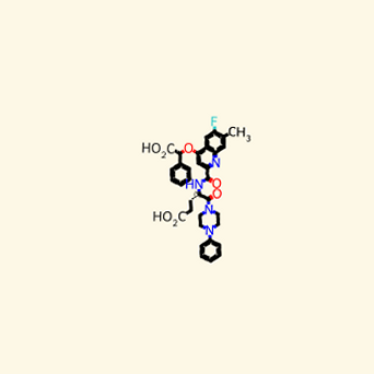 Cc1cc2nc(C(=O)N[C@@H](CCC(=O)O)C(=O)N3CCN(c4ccccc4)CC3)cc(OC(C(=O)O)c3ccccc3)c2cc1F